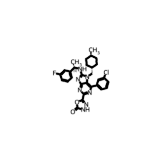 C[C@H](Nc1nc2nc(-c3n[nH]c(=O)o3)nc(-c3cccc(Cl)c3)c2n1C[C@H]1CC[C@H](C)CC1)c1cccc(F)c1